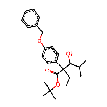 CCC(C(=O)OC(C)(C)C)(c1ccc(OCc2ccccc2)cc1)C(O)C(C)C